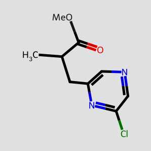 COC(=O)C(C)Cc1cncc(Cl)n1